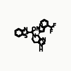 O=C(c1nc2ccccc2s1)N1CCc2[nH]cnc2[C@H]1c1cc2c(C(F)F)cccn2n1